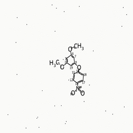 COc1cc(OC)cc(Oc2ccc([N+](=O)[O-])cc2)c1